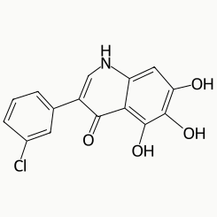 O=c1c(-c2cccc(Cl)c2)c[nH]c2cc(O)c(O)c(O)c12